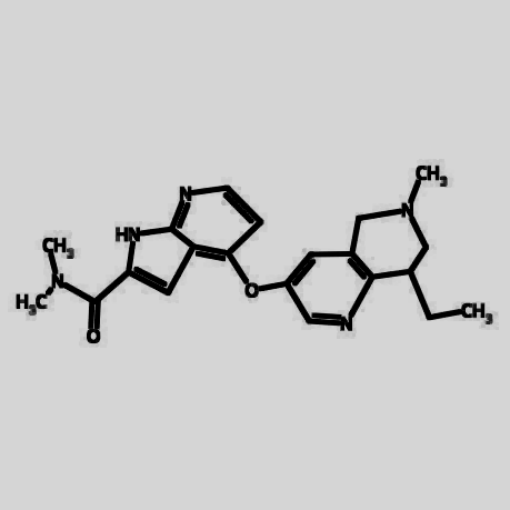 CCC1CN(C)Cc2cc(Oc3ccnc4[nH]c(C(=O)N(C)C)cc34)cnc21